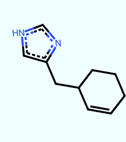 C1=CC(Cc2c[nH]cn2)CCC1